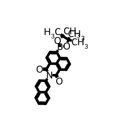 CC1(C)OB(c2ccc3c4c(cccc24)C(=O)N(c2ccc4ccccc4c2)C3=O)OC1(C)C